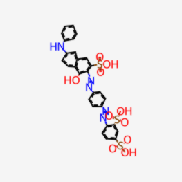 O=S(=O)(O)c1ccc(N=Nc2ccc(N=Nc3c(S(=O)(=O)O)cc4cc(Nc5ccccc5)ccc4c3O)cc2)c(S(=O)(=O)O)c1